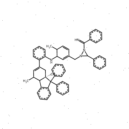 CC1C=CC(CN2C(c3ccccc3)N2C(=N)c2ccccc2)=CC1Nc1ccccc1C1=CC(C)C2c3ccccc3C(c3ccccc3)(c3ccccc3)[C@]2(C)C1